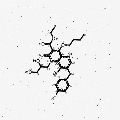 CCCCOc1c(C(=O)OCC)c(=O)n(CC(O)CO)c2c(Br)c(Cc3ccc(F)cc3)cnc12